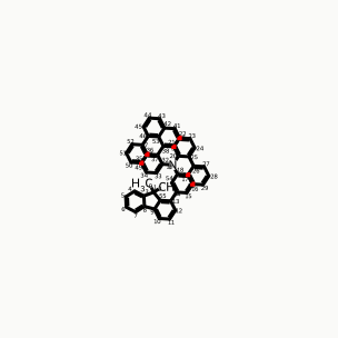 CC1(C)c2ccccc2-c2cccc(-c3cccc(N(c4ccccc4-c4ccccc4)c4ccccc4-c4cccc5cccc(-c6ccccc6)c45)c3)c21